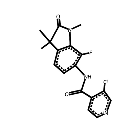 CN1C(=O)C(C)(C)c2ccc(NC(=O)c3ccncc3Cl)c(F)c21